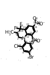 CCCN(c1ccc(Br)cc1Cl)c1c([N+](=O)[O-])cc([N+](=O)[O-])cc1C(F)(F)F